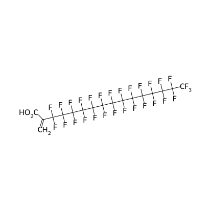 C=C(C(=O)O)C(F)(F)C(F)(F)C(F)(F)C(F)(F)C(F)(F)C(F)(F)C(F)(F)C(F)(F)C(F)(F)C(F)(F)C(F)(F)C(F)(F)C(F)(F)C(F)(F)F